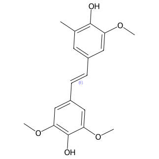 COc1cc(/C=C/c2cc(OC)c(O)c(OC)c2)cc(C)c1O